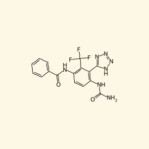 NC(=O)Nc1ccc(NC(=O)c2ccccc2)c(C(F)(F)F)c1-c1nnn[nH]1